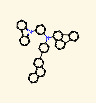 c1cc(N(c2ccc(-c3ccc4c(ccc5ccccc54)c3)cc2)c2ccc3c4c(cccc24)-c2ccccc2-3)cc(-n2c3ccccc3c3ccccc32)c1